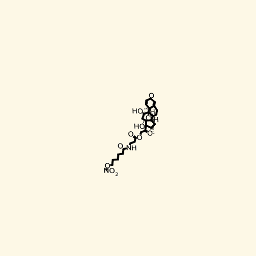 C[C@H]1C[C@H]2[C@@H]3CCC4=CC(=O)C=C[C@]4(C)[C@@]3(Cl)[C@@H](O)C[C@]2(C)C1(O)C(=O)COC(=O)CCNC(=O)CCCCCO[N+](=O)[O-]